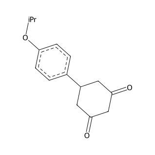 CC(C)Oc1ccc(C2CC(=O)CC(=O)C2)cc1